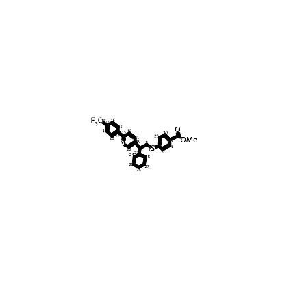 COC(=O)c1ccc(SCC(c2ccc(-c3ccc(C(F)(F)F)cc3)nc2)C2CCCCC2)cc1